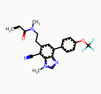 C=CC(=O)N(C)CCc1cc(-c2ccc(OC(F)(F)F)cc2)c2ncn(C)c2c1C#N